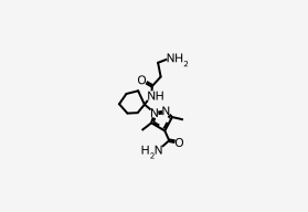 Cc1nn(C2(NC(=O)CCN)CCCCC2)c(C)c1C(N)=O